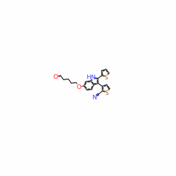 N#Cc1sccc1-c1c(-c2cccs2)[nH]c2cc(OCCCCC=O)ccc12